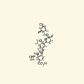 O=C(O)c1ccc2nc(Cc3c(F)cc(-c4ccc(F)c(OCc5ccc(Cl)cc5F)n4)c4c3CCO4)n(C[C@@H]3CCO3)c2c1